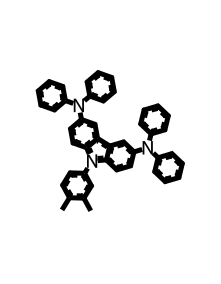 Cc1ccc(-n2c3ccc(N(c4ccccc4)c4ccccc4)cc3c3cc(N(c4ccccc4)c4ccccc4)ccc32)cc1C